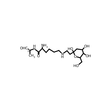 C[C@@H](C=O)NC(=O)C(N)CCCCNCCC1(O)CC(O)C(O)C(CO)O1